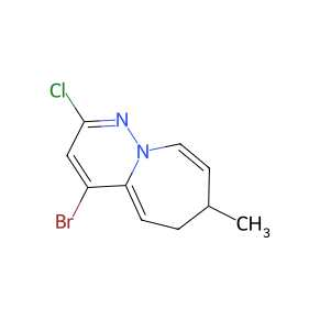 CC1C=CN2N=C(Cl)C=C(Br)C2=CC1